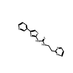 S=C(NCCc1ncccn1)Nc1nc(-c2cccnc2)cs1